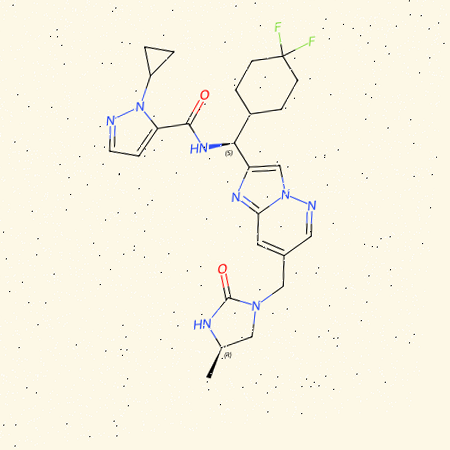 C[C@@H]1CN(Cc2cnn3cc([C@@H](NC(=O)c4ccnn4C4CC4)C4CCC(F)(F)CC4)nc3c2)C(=O)N1